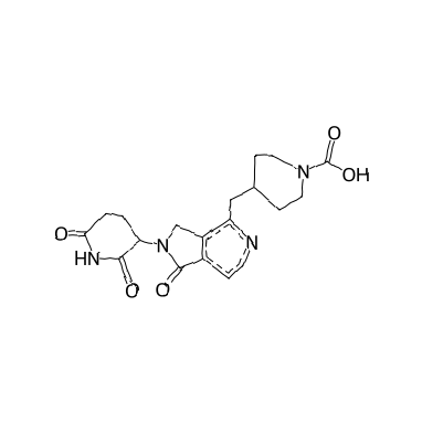 O=C1CCC(N2Cc3c(ccnc3CC3CCN(C(=O)O)CC3)C2=O)C(=O)N1